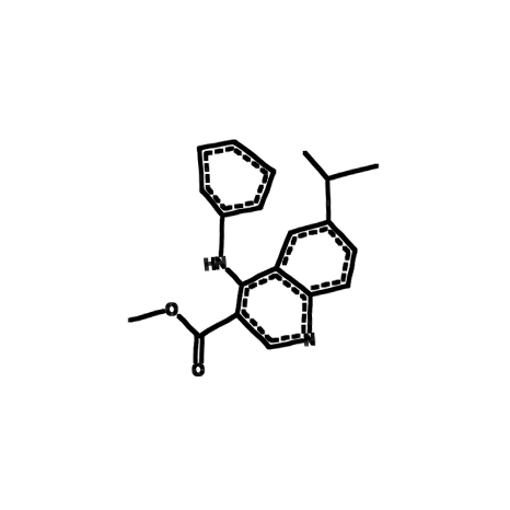 COC(=O)c1cnc2ccc(C(C)C)cc2c1Nc1ccccc1